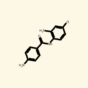 Nc1ccc(C(=O)Nc2ccc(Cl)cc2N)cc1